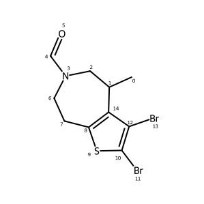 CC1CN(C=O)CCc2sc(Br)c(Br)c21